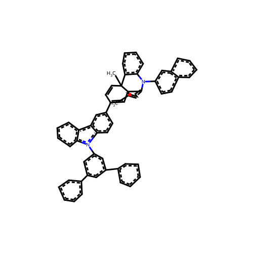 CC1C=CC=C2N(c3ccc4ccccc4c3)c3ccccc3C3(C)C=CC(c4ccc5c(c4)c4ccccc4n5-c4cc(-c5ccccc5)cc(-c5ccccc5)c4)=CC213